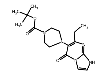 CCc1nc2[nH]ccn2c(=O)c1N1CCN(C(=O)OC(C)(C)C)CC1